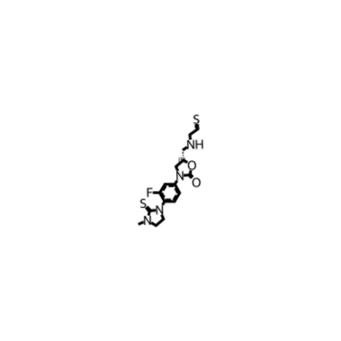 CN1CCN(c2ccc(N3C[C@H](CNCC=S)OC3=O)cc2F)C1=S